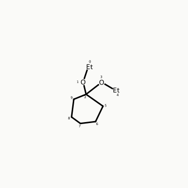 CCOC1(OCC)CCCCC1